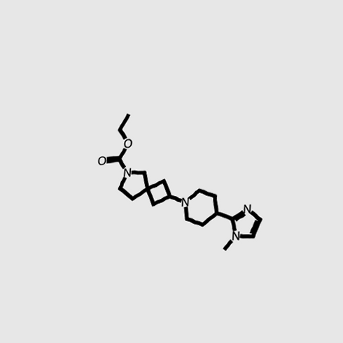 CCOC(=O)N1CCC2(CC(N3CCC(c4nccn4C)CC3)C2)C1